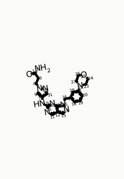 NC(=O)CCn1cc(Nc2ncc3cnn(Cc4cccc(N5CCOCC5)c4)c3n2)cn1